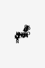 Cn1c(=O)n(C2CCN(S(C)(=O)=O)C2)c2nc(-c3cnn4ccc(C#N)cc34)ncc21